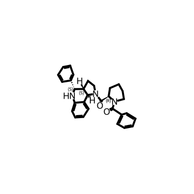 O=C(c1ccccc1)N1CCCC[C@@H]1C(=O)N1CC[C@H]2[C@@H](c3ccccc3)Nc3ccccc3[C@H]21